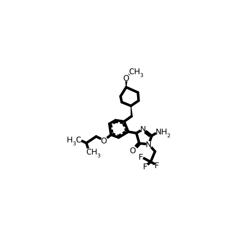 CO[C@H]1CC[C@@H](Cc2ccc(OCC(C)C)cc2C2N=C(N)N(CC(F)(F)F)C2=O)CC1